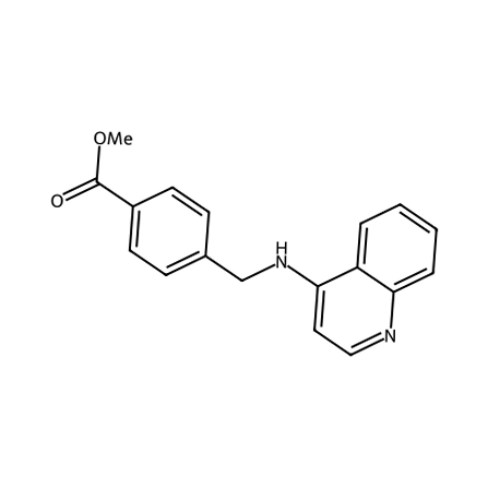 COC(=O)c1ccc(CNc2ccnc3ccccc23)cc1